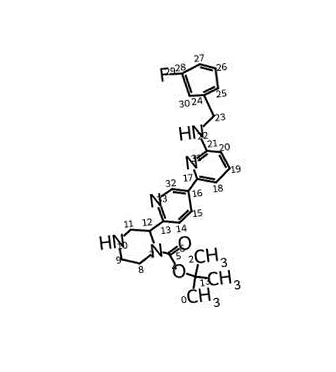 CC(C)(C)OC(=O)N1CCNCC1c1ccc(-c2cccc(NCc3cccc(F)c3)n2)cn1